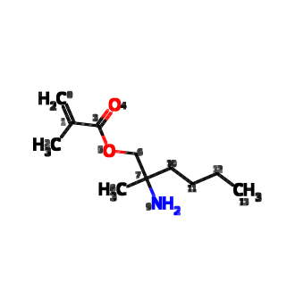 C=C(C)C(=O)OCC(C)(N)CCCC